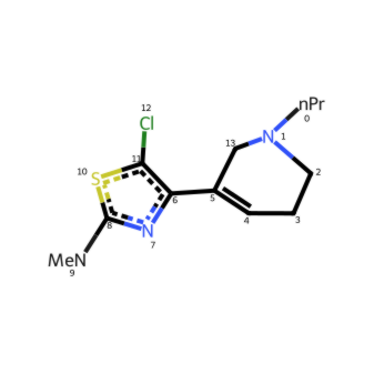 CCCN1CCC=C(c2nc(NC)sc2Cl)C1